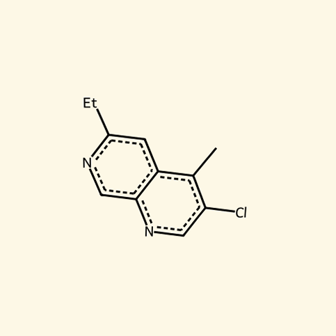 CCc1cc2c(C)c(Cl)cnc2cn1